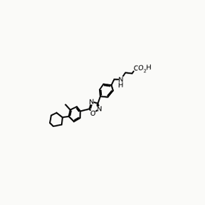 Cc1cc(-c2nc(-c3ccc(CNCCC(=O)O)cc3)no2)ccc1C1CCCCC1